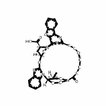 C[C@H]1CN2CC[C@@H]1n1c(nc3ccccc31)O[C@H]1C[C@@H](C(=O)O)N(C1)c1nc(nc3c1oc1ccccc13)CCOCCCC2=O